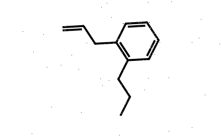 C=CCc1[c][c]ccc1CCC